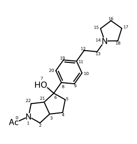 CC(=O)N1CC2CCC(O)(c3ccc(CCN4CCCC4)cc3)C2C1